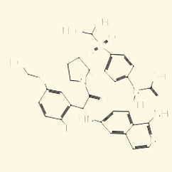 CCOc1ccc(F)c([C@@H](Nc2ccc3c(N)nccc3c2)C(=O)N2CCC[C@@H]2c2cc(N(C)C(=O)O)ccc2S(=O)(=O)C(C)C)c1